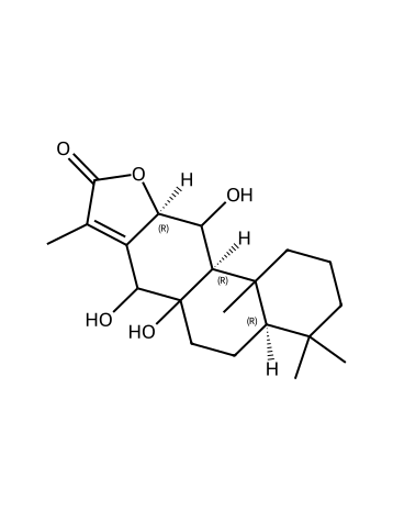 CC1=C2C(O)C3(O)CC[C@@H]4C(C)(C)CCCC4(C)[C@@H]3C(O)[C@@H]2OC1=O